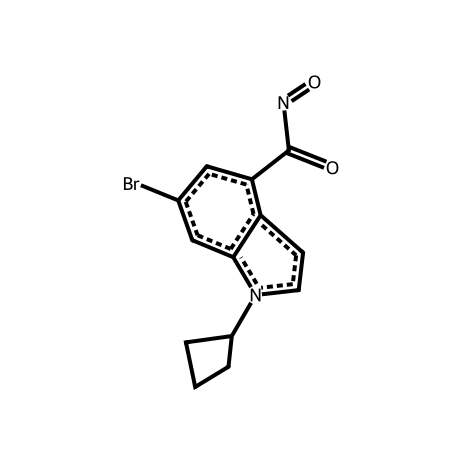 O=NC(=O)c1cc(Br)cc2c1ccn2C1CCC1